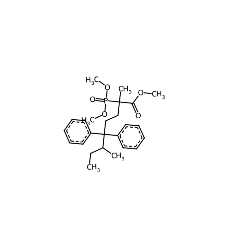 CCC(C)C(CCC(C)(C(=O)OC)P(=O)(OC)OC)(c1ccccc1)c1ccccc1